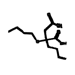 CCCCOC(CCCC)(CC(=O)O)C(=O)O